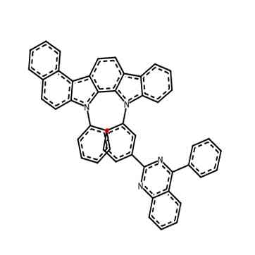 c1ccc(-c2nc(-c3cccc(-n4c5ccccc5c5ccc6c7c8ccccc8ccc7n(-c7ccccc7)c6c54)c3)nc3ccccc23)cc1